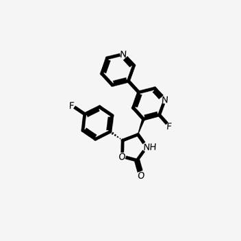 O=C1N[C@H](c2cc(-c3cccnc3)cnc2F)[C@@H](c2ccc(F)cc2)O1